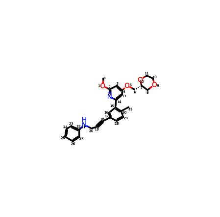 COc1cc(OC[C@H]2COCCO2)cc(-c2cc(C#CCNc3ccccc3)ccc2C)n1